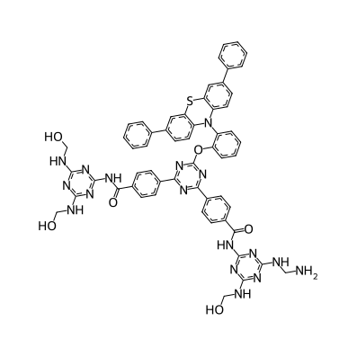 NCNc1nc(NCO)nc(NC(=O)c2ccc(-c3nc(Oc4ccccc4N4c5ccc(-c6ccccc6)cc5Sc5cc(-c6ccccc6)ccc54)nc(-c4ccc(C(=O)Nc5nc(NCO)nc(NCO)n5)cc4)n3)cc2)n1